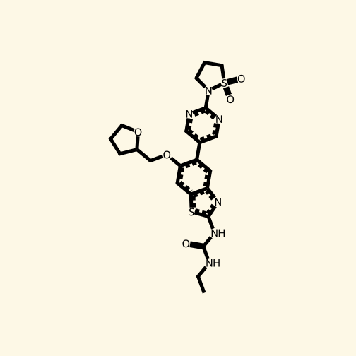 CCNC(=O)Nc1nc2cc(-c3cnc(N4CCCS4(=O)=O)nc3)c(OCC3CCCO3)cc2s1